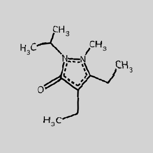 CCc1c(CC)n(C)n(C(C)C)c1=O